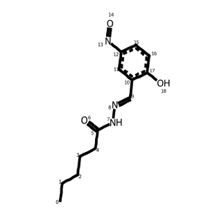 CCCCCC(=O)NN=Cc1cc(N=O)ccc1O